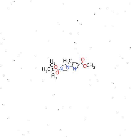 COC(=O)c1cnc(N2CCN(C(=O)OC(C)(C)C)CC2)c(C)c1